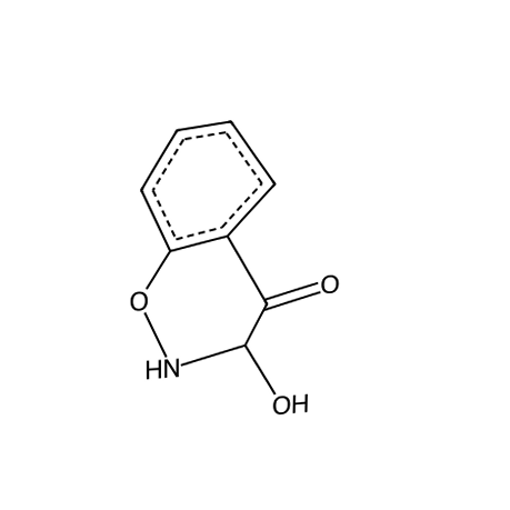 O=C1c2ccccc2ONC1O